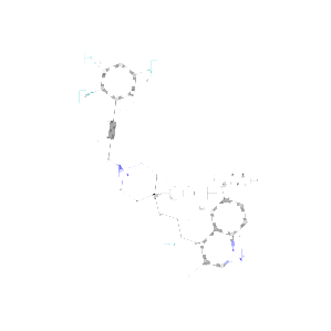 COc1ccc2ncc(C)c([C@@H](F)CCC3(C(=O)O)CCN(CC#Cc4cc(F)cc(F)c4F)CC3)c2c1